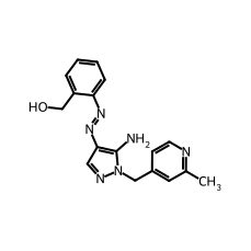 Cc1cc(Cn2ncc(N=Nc3ccccc3CO)c2N)ccn1